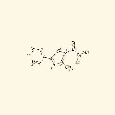 CCN(CC)C(=O)c1sc(-c2cccnc2)nc1C